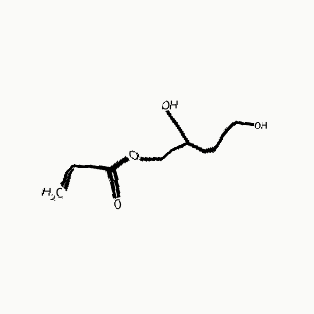 C=CC(=O)OCC(O)CCO